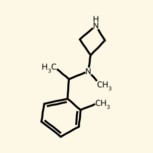 Cc1ccccc1C(C)N(C)C1CNC1